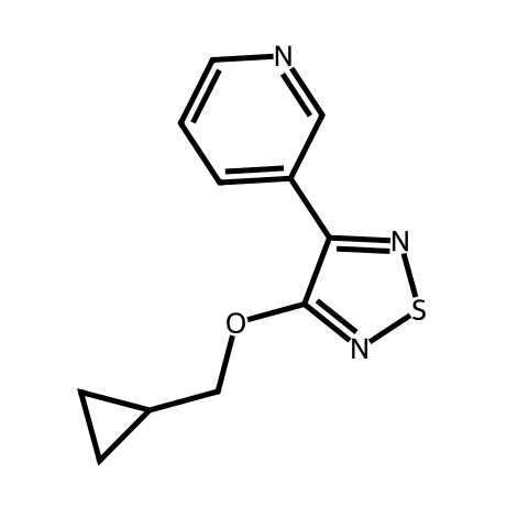 c1cncc(-c2nsnc2OCC2CC2)c1